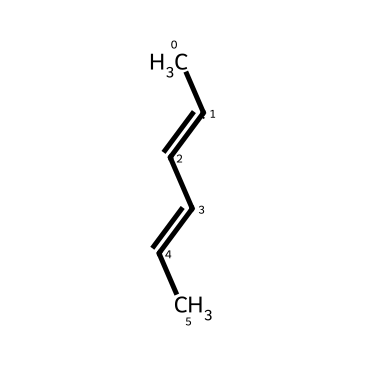 C/[C]=C/C=CC